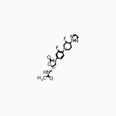 CC(=O)NC[C@H]1CN(c2ccc(N3CCC(n4nccn4)C(F)C3)c(F)c2)C(=O)O1